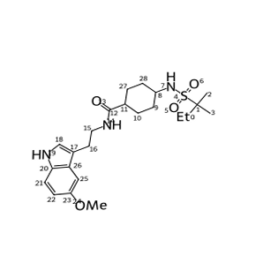 CCC(C)(C)S(=O)(=O)NC1CCC(C(=O)NCCc2c[nH]c3ccc(OC)cc23)CC1